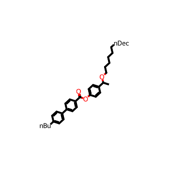 CCCCCCCCCCCCCCCCOC(C)c1ccc(OC(=O)c2ccc(-c3ccc(CCCC)cc3)cc2)cc1